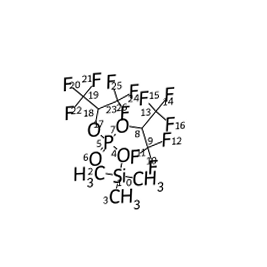 C[Si](C)(C)OP(=O)(OC(C(F)(F)F)C(F)(F)F)OC(C(F)(F)F)C(F)(F)F